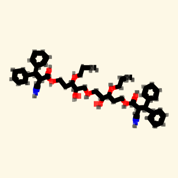 C=CCOC(CCOC(=O)C(C#N)=C(c1ccccc1)c1ccccc1)C(O)COCC(O)C(CCOC(=O)C(C#N)=C(c1ccccc1)c1ccccc1)OCC=C